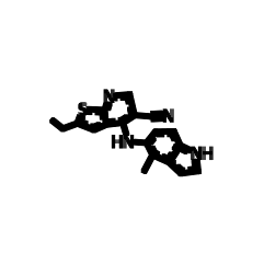 CCc1cc2c(Nc3ccc4[nH]ccc4c3C)c(C#N)cnc2s1